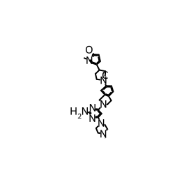 CN1CCN(c2cc(N3CCc4ccc(N5CCC(c6ccc(=O)n(C)c6)CC5)cc4C3)nc(N)n2)CC1